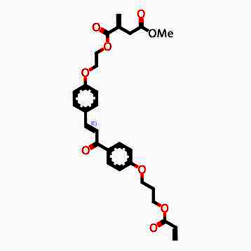 C=CC(=O)OCCCOc1ccc(C(=O)/C=C/c2ccc(OCCOC(=O)C(=C)CC(=O)OC)cc2)cc1